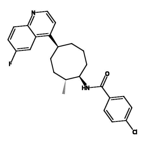 C[C@@H]1CC[C@@H](c2ccnc3ccc(F)cc23)CCC[C@H]1NC(=O)c1ccc(Cl)cc1